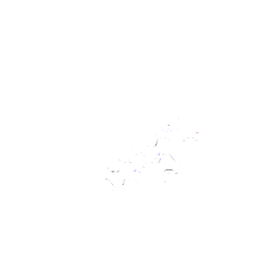 C(=C\CN(CC1Cc2ccccc2CN1)C1CCCc2cccnc21)/CNC1CCOCC1